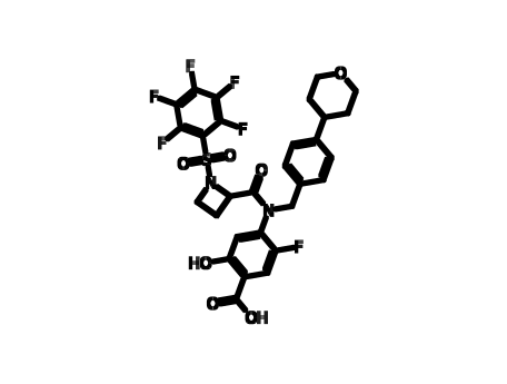 O=C(O)c1cc(F)c(N(Cc2ccc(C3CCOCC3)cc2)C(=O)C2CCN2S(=O)(=O)c2c(F)c(F)c(F)c(F)c2F)cc1O